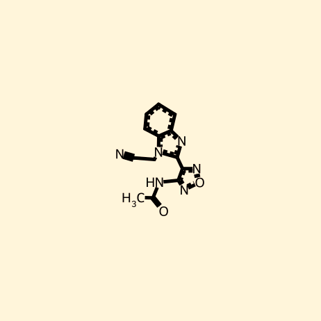 CC(=O)Nc1nonc1-c1nc2ccccc2n1CC#N